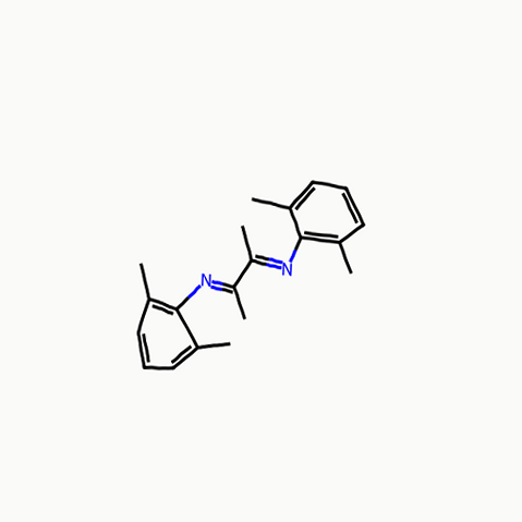 CC(=N\c1c(C)cccc1C)/C(C)=N/c1c(C)cccc1C